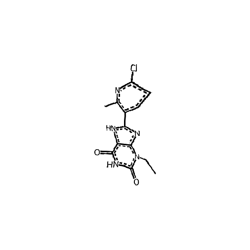 CCn1c(=O)[nH]c(=O)c2[nH]c(-c3ccc(Cl)nc3C)nc21